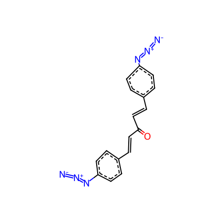 [N-]=[N+]=Nc1ccc(C=CC(=O)C=Cc2ccc(N=[N+]=[N-])cc2)cc1